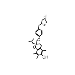 Cc1c(C)c2c(c(C)c1O)CCC(COc1ccc(CC3CNCS3)cc1)(CC(C)C)O2